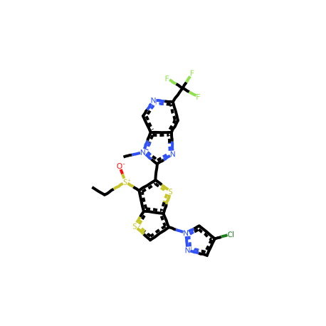 CC[S+]([O-])c1c(-c2nc3cc(C(F)(F)F)ncc3n2C)sc2c(-n3cc(Cl)cn3)csc12